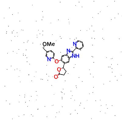 COCc1ccc(Oc2cc3nc(-c4ccccn4)[nH]c3cc2C2CCC(=O)O2)nc1